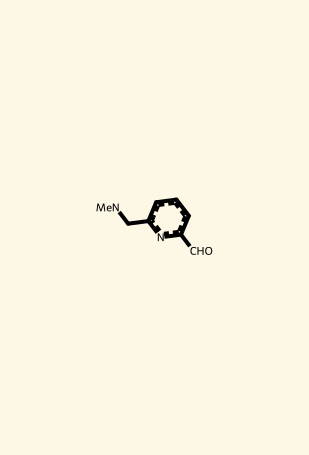 CNCc1cccc(C=O)n1